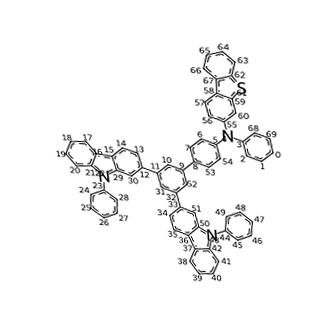 c1ccc(N(c2ccc(-c3cc(-c4ccc5c6ccccc6n(-c6ccccc6)c5c4)cc(-c4ccc5c6ccccc6n(-c6ccccc6)c5c4)c3)cc2)c2ccc3c(c2)sc2ccccc23)cc1